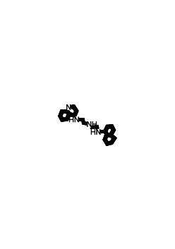 c1ccc2c(NCCNCCNc3ccnc4ccccc34)cccc2c1